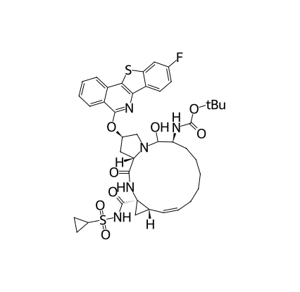 CC(C)(C)OC(=O)N[C@H]1CCCCC/C=C\[C@@H]2C[C@@]2(C(=O)NS(=O)(=O)C2CC2)NC(=O)[C@@H]2C[C@@H](Oc3nc4c5ccc(F)cc5sc4c4ccccc34)CN2C1O